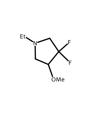 CCN1CC(OC)C(F)(F)C1